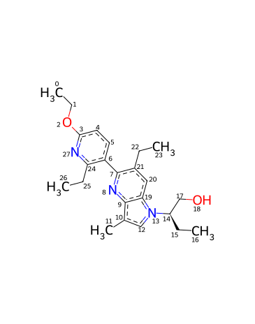 CCOc1ccc(-c2nc3c(C)cn([C@H](CC)CO)c3cc2CC)c(CC)n1